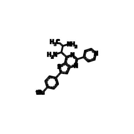 CC(N)C(N)c1nc(-c2ccncc2)nc2cc(-c3ccc(C(C)(C)C)cc3)sc12